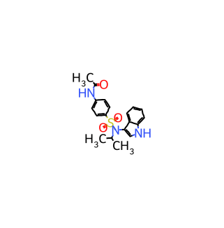 CC(=O)Nc1ccc(S(=O)(=O)N(c2c[nH]c3ccccc23)C(C)C)cc1